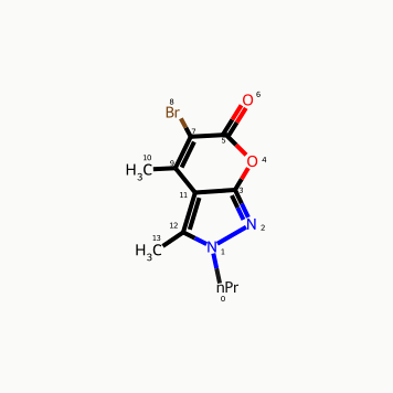 CCCn1nc2oc(=O)c(Br)c(C)c2c1C